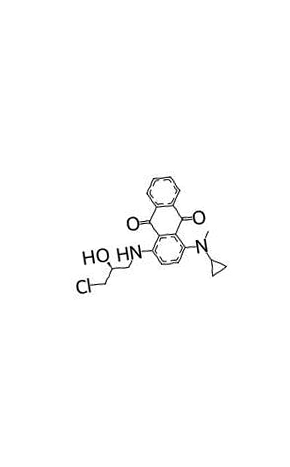 CN(c1ccc(NC[C@H](O)CCl)c2c1C(=O)c1ccccc1C2=O)C1CC1